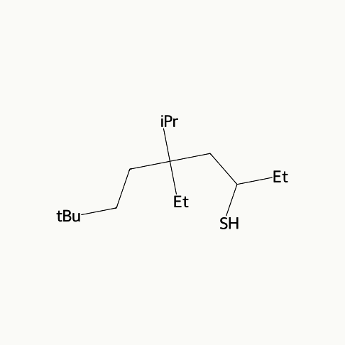 CCC(S)CC(CC)(CCC(C)(C)C)C(C)C